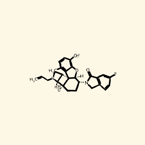 C=CCN1CC2[C@@H]1[C@]1(O)CC[C@@H](N3Cc4ccc(F)cc4C3=O)[C@@H]3Oc4c(O)ccc(C)c4[C@@]231